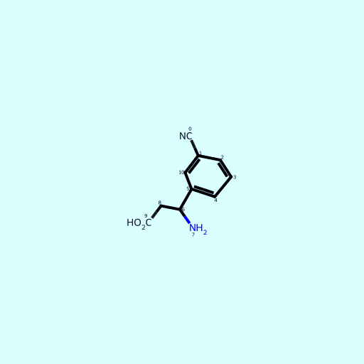 N#Cc1cccc(C(N)CC(=O)O)c1